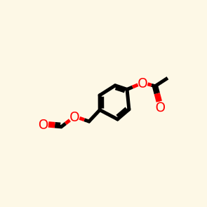 CC(=O)Oc1ccc(COC=O)cc1